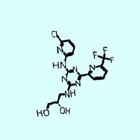 OC[C@H](O)CNc1nc(Nc2cccc(Cl)n2)nc(-c2cccc(C(F)(F)F)n2)n1